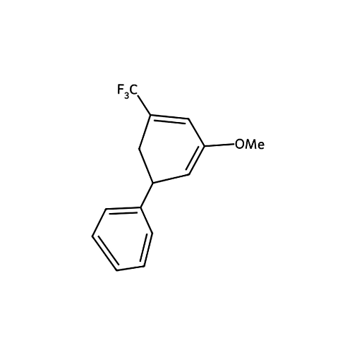 COC1=CC(c2ccccc2)CC(C(F)(F)F)=C1